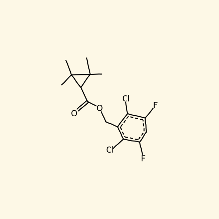 CC1(C)C(C(=O)OCc2c(Cl)c(F)cc(F)c2Cl)C1(C)C